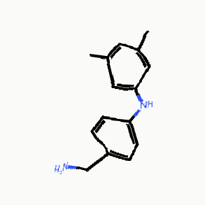 Cc1cc(C)cc(Nc2ccc(CN)cc2)c1